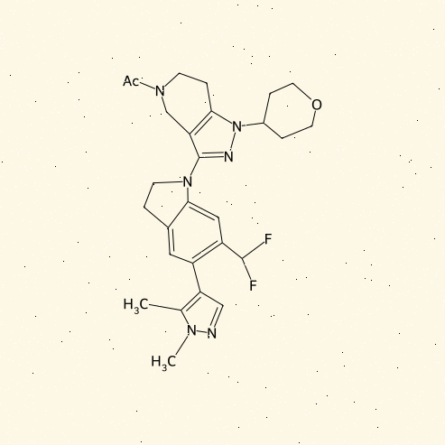 CC(=O)N1CCc2c(c(N3CCc4cc(-c5cnn(C)c5C)c(C(F)F)cc43)nn2C2CCOCC2)C1